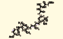 CSCC(=O)NC(=N)NC(=O)C[C@@H]1C[C@@]2(CO2)[C@H](O)[C@@H](/C=C/C(C)=C/C[C@@H]2O[C@H](C)[C@H](NC(=O)/C=C\[C@H](C)OC(C)=O)C[C@@H]2C)O1